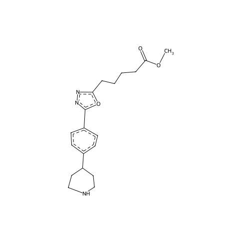 COC(=O)CCCCc1nnc(-c2ccc(C3CCNCC3)cc2)o1